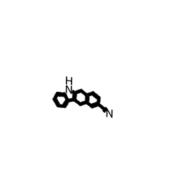 N#Cc1ccc2c(c1)Cc1c([nH]c3ccccc13)C2